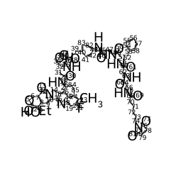 CC[C@@]1(O)C(=O)OCc2c1cc1n(c2=O)Cc2c-1nc1cc(F)c(C)c3c1c2[C@@H](NC(=O)C[C@H](CO)NC(=O)OCc1ccc(NC(=O)CNC(=O)[C@H](Cc2ccccc2)NC(=O)CNC(=O)CNC(=O)CCCCCN2C(=O)C=CC2=O)cc1)CC3